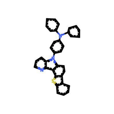 c1ccc(N(c2ccccc2)c2ccc(-n3c4cccnc4c4c5sc6ccccc6c5ccc43)cc2)cc1